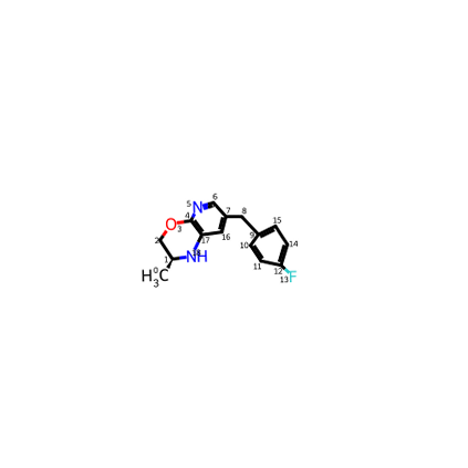 C[C@H]1COc2n[c]c(Cc3ccc(F)cc3)cc2N1